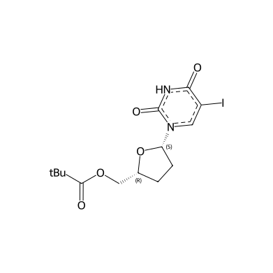 CC(C)(C)C(=O)OC[C@H]1CC[C@@H](n2cc(I)c(=O)[nH]c2=O)O1